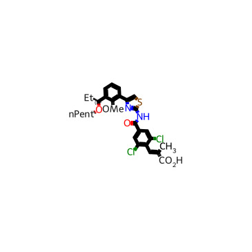 CCCCCO[C@@H](CC)c1cccc(-c2csc(NC(=O)c3cc(Cl)c(C=C(C)C(=O)O)c(Cl)c3)n2)c1OC